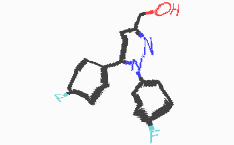 OCc1cc(-c2ccc(F)cc2)n(-c2ccc(F)cc2)n1